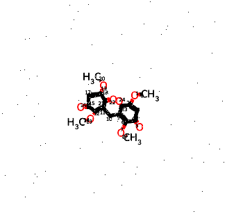 COC1=CC(=O)C(OC)=C(CC2=C(OC)C(=O)C=C(OC)C2=O)C1=O